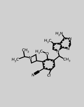 COc1c(C(C)n2cc(C)c3c(N)ncnc32)cc(Cl)c(C#N)c1C1CN(C(C)C)C1